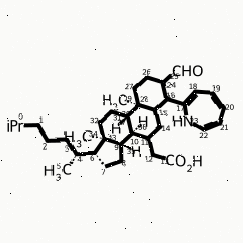 CC(C)CCC[C@@H](C)[C@H]1CC[C@H]2[C@@H]3C(CC(=O)O)CC4C(C5=CC=CC=CN5)C(C=O)CC[C@]4(C)[C@H]3CC[C@]12C